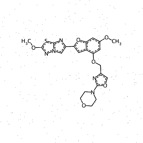 COc1cc(OCc2coc(N3CCOCC3)n2)c2cc(-c3cn4nc(OC)sc4n3)oc2c1